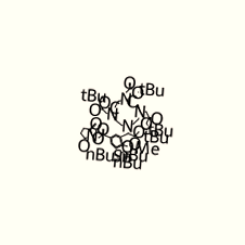 CCC[CH2][Sn]([CH2]CCC)([CH2]CCC)[c]1cc(C(=O)ON2C(=O)CCC2=O)cc(C(C(=O)OC(C)(C)C)N2CCN(CC(=O)OC(C)(C)C)CCN(CC(=O)OC(C)(C)C)CCN(CC(=O)OC(C)(C)C)CC2)c1OC